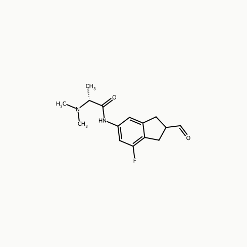 C[C@H](C(=O)Nc1cc(F)c2c(c1)CC(C=O)C2)N(C)C